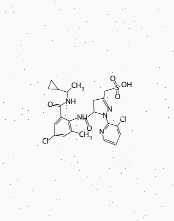 Cc1cc(Cl)cc(C(=O)NC(C)C2CC2)c1NC(=O)C1CC(CS(=O)(=O)O)=NN1c1ncccc1Cl